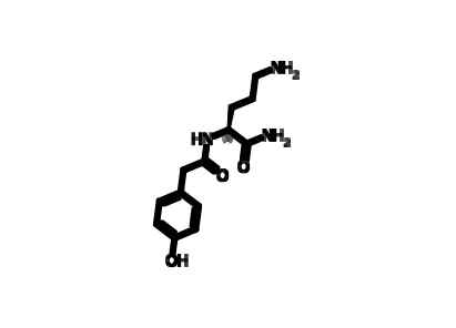 NCCC[C@H](NC(=O)Cc1ccc(O)cc1)C(N)=O